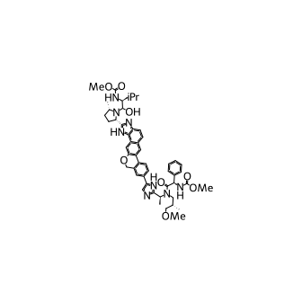 COC[C@@H](C)CN(C(=O)[C@H](NC(=O)OC)c1ccccc1)[C@@H](C)c1ncc(-c2ccc3c(c2)COc2cc4c(ccc5nc([C@@H]6CC[C@H](C)N6C(O)[C@@H](NC(=O)OC)C(C)C)[nH]c54)cc2-3)[nH]1